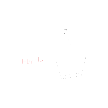 Br.Br.[Zr][C]1=CC=CC1